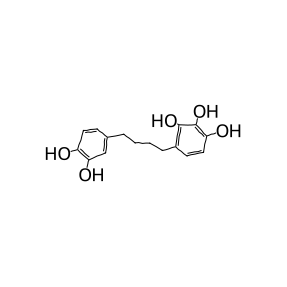 Oc1ccc(CCCCc2ccc(O)c(O)c2O)cc1O